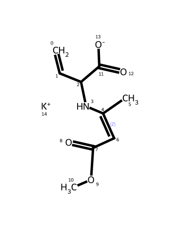 C=CC(N/C(C)=C\C(=O)OC)C(=O)[O-].[K+]